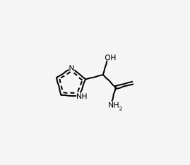 C=C(N)C(O)c1ncc[nH]1